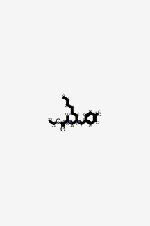 CCCCCCC(=C\c1ccc(F)cc1)/C=C(\C)C(=O)OCC